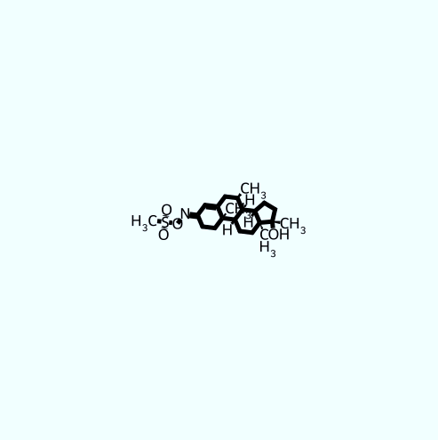 C[C@@H]1CC2=C/C(=N/OS(C)(=O)=O)CC[C@]2(C)[C@H]2CC[C@@]3(C)[C@@H](CC[C@]3(C)O)[C@H]12